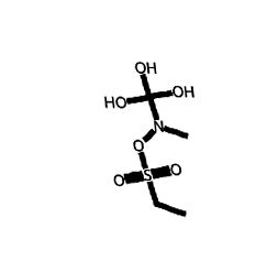 CCS(=O)(=O)ON(C)C(O)(O)O